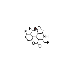 O=C(O)C1=C(CF)NC2=C(C(=O)OC2)C1c1cccc(F)c1C(F)F